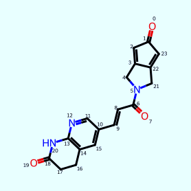 O=C1C=C2CN(C(=O)/C=C/c3cnc4c(c3)CCC(=O)N4)CC2=C1